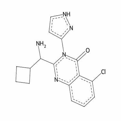 NC(c1nc2cccc(Cl)c2c(=O)n1-c1cc[nH]n1)C1CCC1